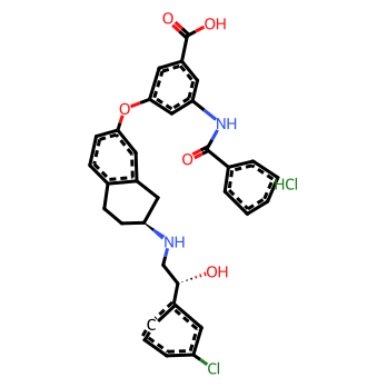 Cl.O=C(O)c1cc(NC(=O)c2ccccc2)cc(Oc2ccc3c(c2)C[C@@H](NC[C@H](O)c2cccc(Cl)c2)CC3)c1